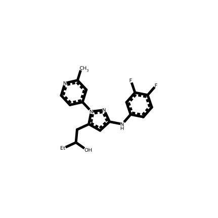 CCC(O)Cc1cc(Nc2ccc(F)c(F)c2)nn1-c1ccnc(C)c1